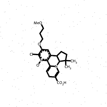 COCCCOc1cc2c([n+]([O-])c1Cl)C1=CCC(C(=O)O)=CN1C1C2CCC1(C)C